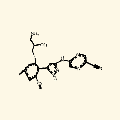 COc1cc(C)cc(OCC(O)CN)c1-c1cc(Nc2cnc(C#N)cn2)n[nH]1